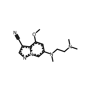 COc1cc(N(C)CCN(C)C)cn2ncc(C#N)c12